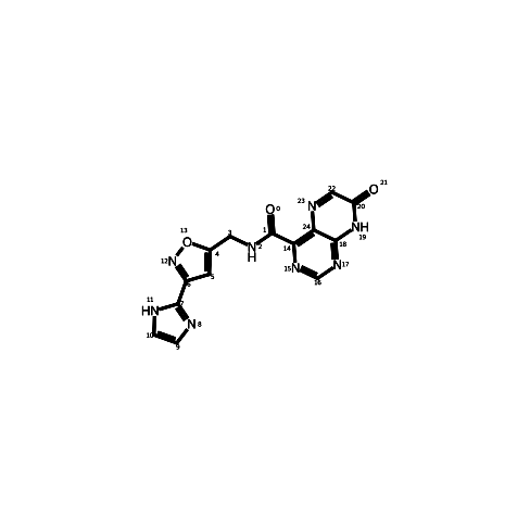 O=C(NCc1cc(-c2ncc[nH]2)no1)c1ncnc2[nH]c(=O)cnc12